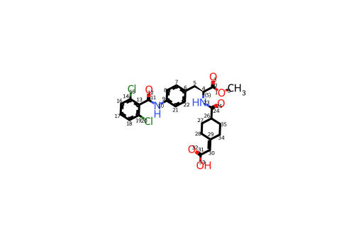 COC(=O)[C@H](Cc1ccc(NC(=O)c2c(Cl)cccc2Cl)cc1)NC(=O)C1CCC(=CC(=O)O)CC1